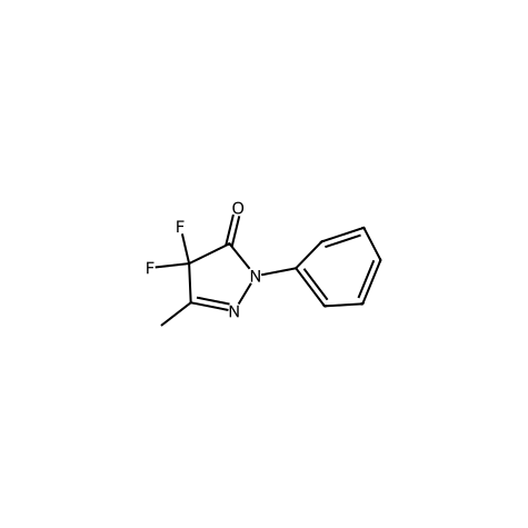 CC1=NN(c2ccccc2)C(=O)C1(F)F